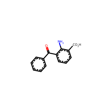 Nc1c(C(=O)O)cccc1C(=O)c1ccccc1